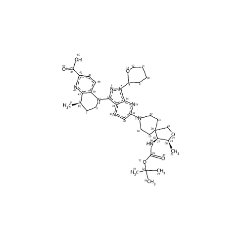 C[C@@H]1CCN(c2nn(C3CCCCO3)c3nc(N4CCC5(CC4)CO[C@@H](C)[C@H]5NC(=O)OC(C)(C)C)cnc23)c2ccc(C(=O)O)nc21